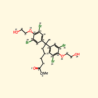 COC(=O)CCCCC(C)(c1cc(Br)c(OCCO)c(Br)c1)c1cc(Br)c(OCCO)c(Br)c1